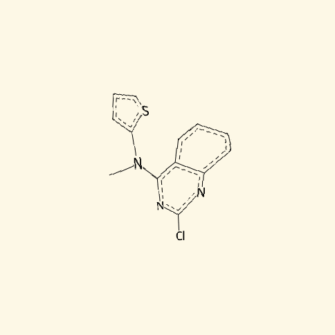 CN(c1cccs1)c1nc(Cl)nc2ccccc12